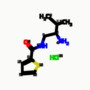 CC(C)[C@@H](N)CNC(=O)c1cccs1.Cl